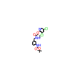 CC[C@@H](Oc1ncc(Cl)cc1Cl)C(=O)NCc1cccc(NC(=O)OC(C)(C)C)c1